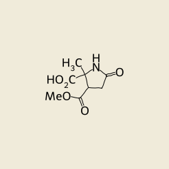 COC(=O)C1CC(=O)NC1(C)C(=O)O